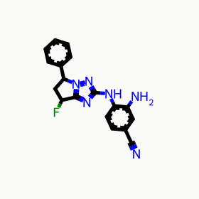 N#Cc1ccc(Nc2nc3n(n2)C(c2ccccc2)CC3F)c(N)c1